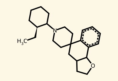 CC[C@H]1CCCCC1N1CCC2(CC1)CC1CCOC1c1ccccc12